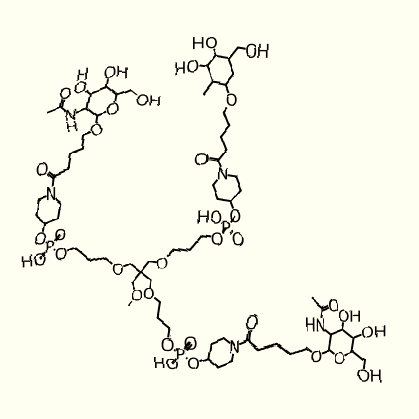 COCC(COCCCOP(=O)(O)OC1CCN(C(=O)CCCCOC2CC(CO)C(O)C(O)C2C)CC1)(COCCCOP(=O)(O)OC1CCN(C(=O)CCCCOC2OC(CO)C(O)C(O)C2NC(C)=O)CC1)COCCCOP(=O)(O)OC1CCN(C(=O)CCCCOC2OC(CO)C(O)C(O)C2NC(C)=O)CC1